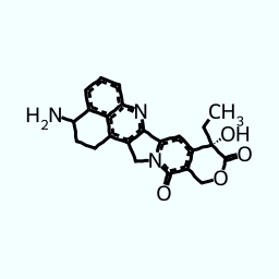 CC[C@@]1(O)C(=O)OCc2c1cc1n(c2=O)Cc2c-1nc1cccc3c1c2CCC3N